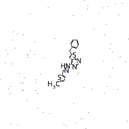 Cc1ccc(/C=N/Nc2ncnc3sc(Cc4ccccc4)cc23)s1